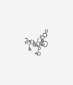 C=CC(=O)N1CCN(C2NC(OCC3CCCN3C)NC3(C4CCCCCCC4)C(=O)[C@]4(CCC23)Cc2ccc(Cl)cc2S4)CC1CC#N